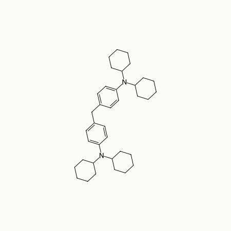 c1cc(N(C2CCCCC2)C2CCCCC2)ccc1Cc1ccc(N(C2CCCCC2)C2CCCCC2)cc1